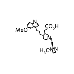 COc1ccc2nccc(CCCC3CCN(CC#Cc4nccn4C)CC3CCC(=O)O)c2c1